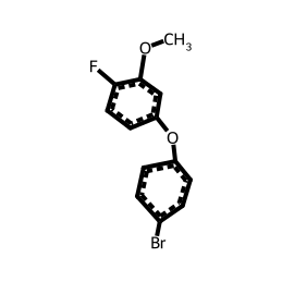 COc1cc(Oc2ccc(Br)cc2)ccc1F